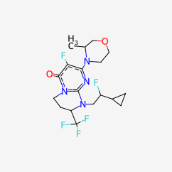 CC1COCCN1c1nc2n(c(=O)c1F)CCC(C(F)(F)F)N2CC(F)C1CC1